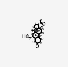 CC(=O)[C@H]1CC[C@H]2[C@@H]3C[C@H](CO)C4=CC(=O)CC[C@]4(C)[C@H]3CC[C@]12C